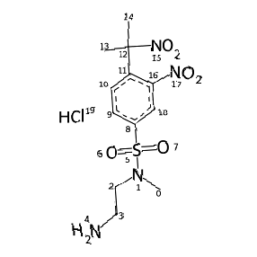 CN(CCN)S(=O)(=O)c1ccc(C(C)(C)[N+](=O)[O-])c([N+](=O)[O-])c1.Cl